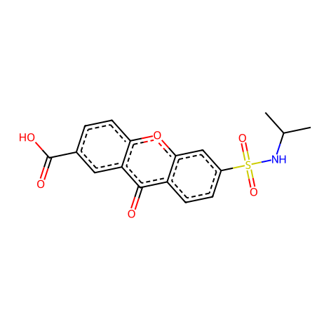 CC(C)NS(=O)(=O)c1ccc2c(=O)c3cc(C(=O)O)ccc3oc2c1